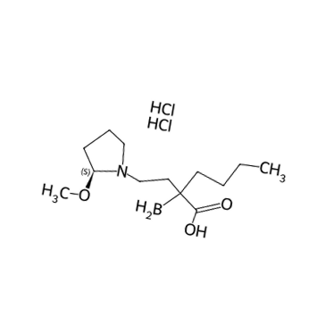 BC(CCCC)(CCN1CCC[C@@H]1OC)C(=O)O.Cl.Cl